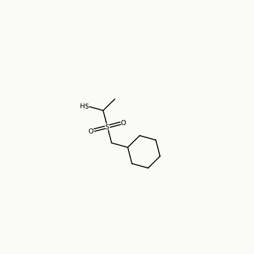 CC(S)S(=O)(=O)CC1CCCCC1